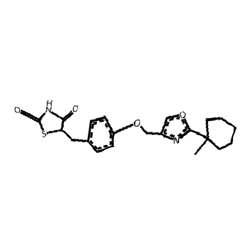 CC1(c2nc(COc3ccc(CC4SC(=O)NC4=O)cc3)co2)CCCCC1